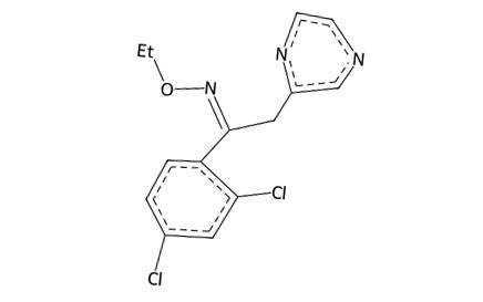 CCON=C(Cc1cnccn1)c1ccc(Cl)cc1Cl